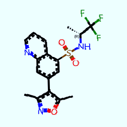 Cc1noc(C)c1-c1cc(S(=O)(=O)N[C@H](C)C(F)(F)F)c2cccnc2c1